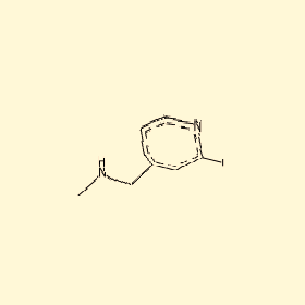 CNCc1ccnc(I)c1